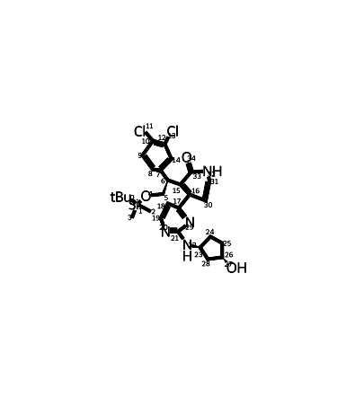 CC(C)(C)[Si](C)(C)OC[C@@H](c1ccc(Cl)c(Cl)c1)c1c(-c2ccnc(N[C@H]3CC[C@H](O)C3)n2)cc[nH]c1=O